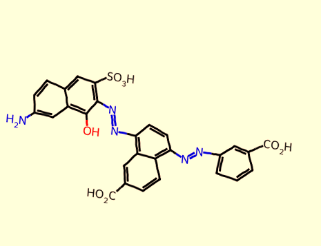 Nc1ccc2cc(S(=O)(=O)O)c(/N=N/c3ccc(/N=N/c4cccc(C(=O)O)c4)c4ccc(C(=O)O)cc34)c(O)c2c1